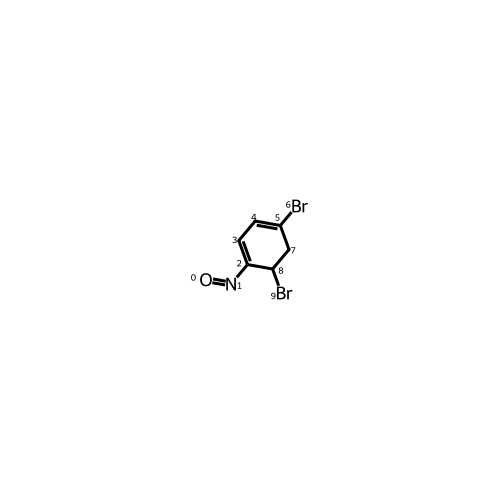 O=NC1=CC=C(Br)CC1Br